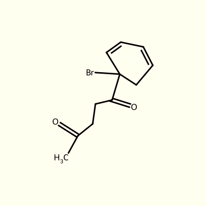 CC(=O)CCC(=O)C1(Br)C=CC=CC1